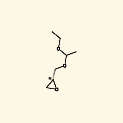 CCOC(C)OC[C@H]1CO1